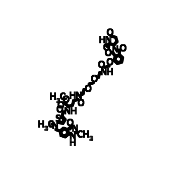 COC(=O)C(CCC(=O)NCCOCCOCCNC(=O)COc1cccc2c1C(=O)N(C1CCC(=O)NC1=O)C2=O)NC(=O)c1ccc(N(C)Cc2ccc3[nH]c(C)nc(=O)c3c2)s1